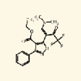 CCOC(=O)c1c(-c2ccccc2)noc1C(=CN(C)C)C(=O)C(F)(F)F